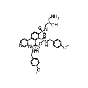 COc1ccc(CNS(=O)(=O)c2c(S(=O)(=O)NCC(O)CN)ccc(-c3ccncc3N)c2-c2nnn(Cc3ccc(OC)cc3)n2)cc1